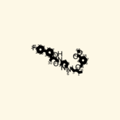 CCC(CCN(C)c1ccc(NC(=O)c2oc3ccc(-c4ccc(F)cc4)cc3c2C)cn1)OCc1cccc(C(=O)OC)c1